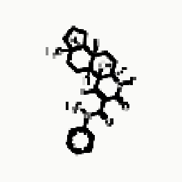 CN(C(=O)C1=C(F)[C@]2(C)[C@H]3CC[C@]4(C)CCC[C@H]4[C@@H]3CC[C@@]2(F)N(F)C1=O)c1ccccc1